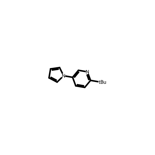 CC(C)(C)c1ccc(-n2cccc2)cn1